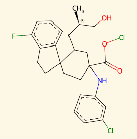 C[C@@H](CO)CC1CC(Nc2cccc(Cl)c2)(C(=O)OCl)CCC12CCc1c(F)cccc12